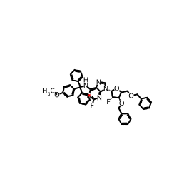 COc1ccc(C(Nc2nc(F)nc3c2ncn3[C@@H]2O[C](COCc3ccccc3)[C@@H](OCc3ccccc3)[C@@H]2F)(c2ccccc2)c2ccccc2)cc1